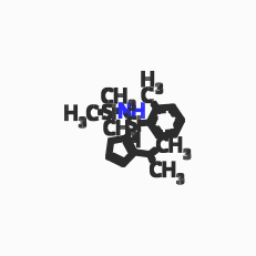 Cc1ccccc1[SiH](N[Si](C)(C)C)C1=C(C(C)C)C=CC1